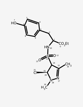 CCOC(=O)C(Cc1ccc(O)cc1)NS(=O)(=O)C1C(C)=NN(C)[C@H]1Cl